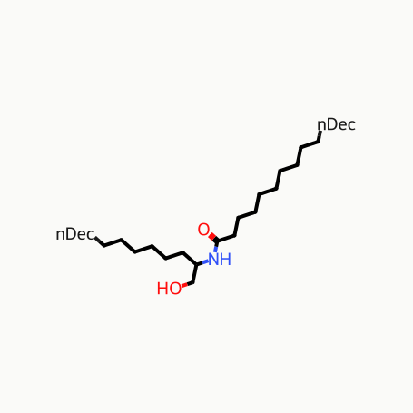 CCCCCCCCCCCCCCCCCCCC(=O)NC(CO)CCCCCCCCCCCCCCCC